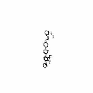 CC/C=C\CC1CCC(C2CC=C(c3ccc(C4CO4)c(F)c3F)CC2)CC1